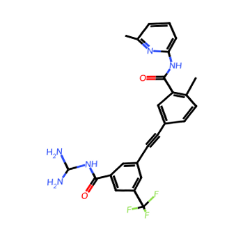 Cc1cccc(NC(=O)c2cc(C#Cc3cc(C(=O)NC(N)N)cc(C(F)(F)F)c3)ccc2C)n1